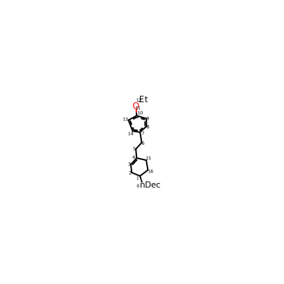 CCCCCCCCCCC1CC=C(CCc2ccc(OCC)cc2)CC1